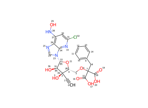 C#C[C@@]1(O)[C@@H](COC(Cc2ccccc2)(C(=O)O)C(=O)O)O[C@@H](n2cnc3c(NO)cc(Cl)nc32)[C@@H]1O